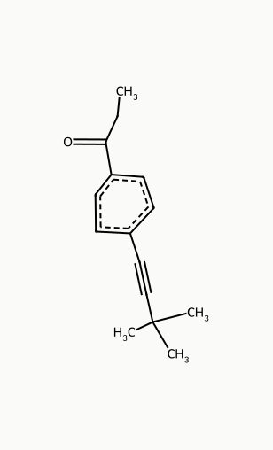 CCC(=O)c1ccc(C#CC(C)(C)C)cc1